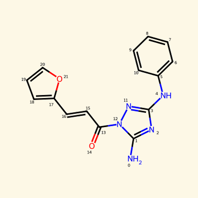 Nc1nc(Nc2ccccc2)nn1C(=O)C=Cc1ccco1